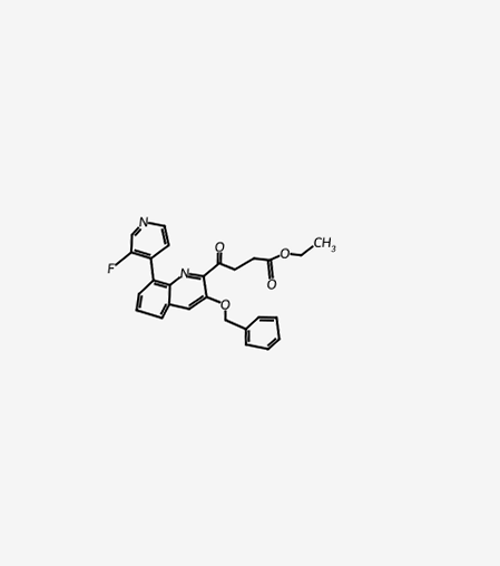 CCOC(=O)CCC(=O)c1nc2c(-c3ccncc3F)cccc2cc1OCc1ccccc1